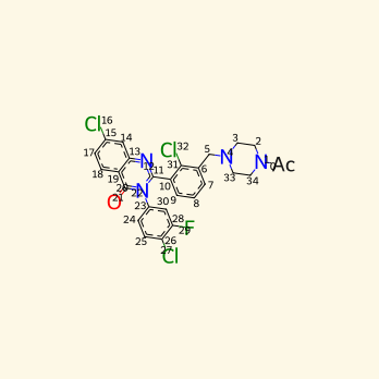 CC(=O)N1CCN(Cc2cccc(-c3nc4cc(Cl)ccc4c(=O)n3-c3ccc(Cl)c(F)c3)c2Cl)CC1